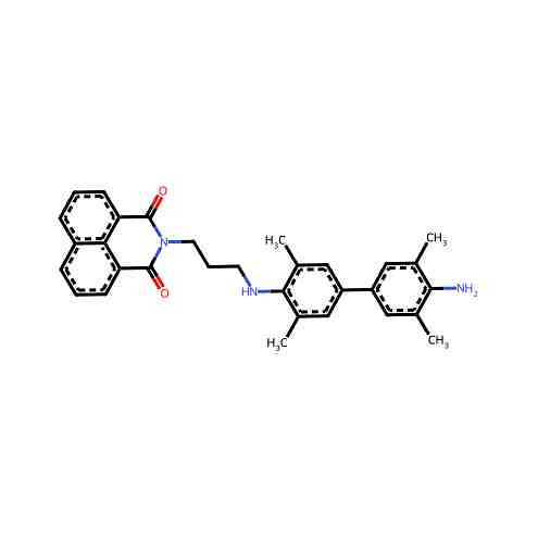 Cc1cc(-c2cc(C)c(NCCCN3C(=O)c4cccc5cccc(c45)C3=O)c(C)c2)cc(C)c1N